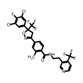 Cc1cc(C2=NOC(c3cc(Cl)c(F)c(Cl)c3)(C(F)(F)F)C2)ccc1C(=O)NCCc1cnccc1C(F)(F)F